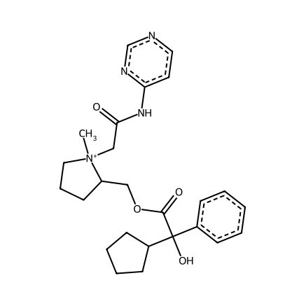 C[N+]1(CC(=O)Nc2ccncn2)CCCC1COC(=O)C(O)(c1ccccc1)C1CCCC1